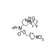 CCCN(C(=O)OCc1ccc([N+](=O)[O-])cc1)C1CCNCC1.O=C(O)C(F)(F)F